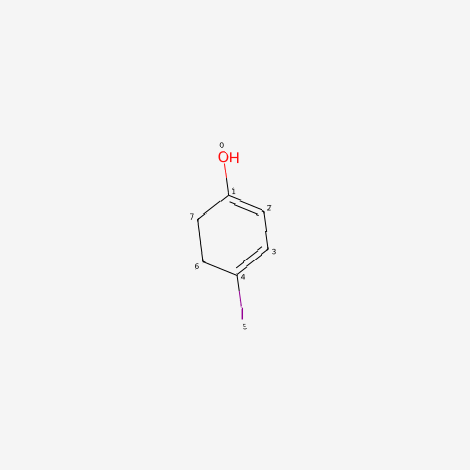 OC1=CC=C(I)CC1